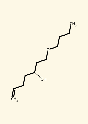 C=CCC[C@@H](O)CCOCCCC